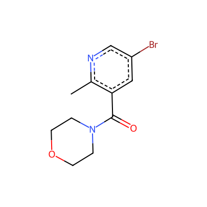 Cc1ncc(Br)cc1C(=O)N1CCOCC1